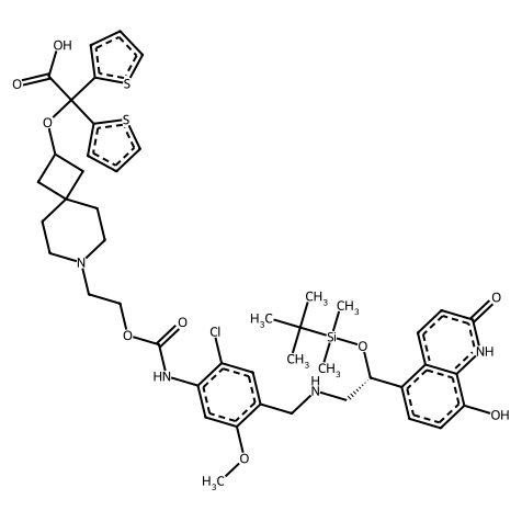 COc1cc(NC(=O)OCCN2CCC3(CC2)CC(OC(C(=O)O)(c2cccs2)c2cccs2)C3)c(Cl)cc1CNC[C@H](O[Si](C)(C)C(C)(C)C)c1ccc(O)c2[nH]c(=O)ccc12